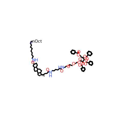 CCCCCCCC/C=C\CCCCCCCCNO[C@@H]1CCC2C(CCC3C2CCC2C3CC[C@@H]2[C@H](C)CCC(=O)NCCCCCC(=O)NCCOCCOCCO[C@H]2OC(COC(=O)c3ccccc3)[C@@H](OC(=O)c3ccccc3)C(OC(=O)c3ccccc3)C2OC(=O)c2ccccc2)C1